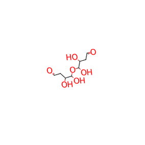 O=CCC(O)C(O)OC(O)C(O)CC=O